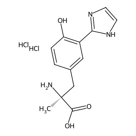 C[C@](N)(Cc1ccc(O)c(-c2ncc[nH]2)c1)C(=O)O.Cl.Cl